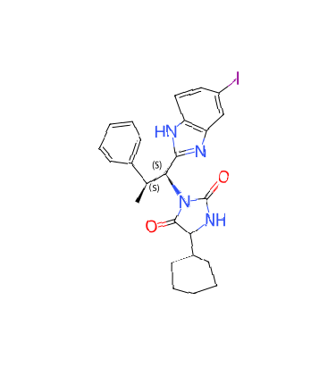 C[C@@H](c1ccccc1)[C@@H](c1nc2cc(I)ccc2[nH]1)N1C(=O)NC(C2CCCCC2)C1=O